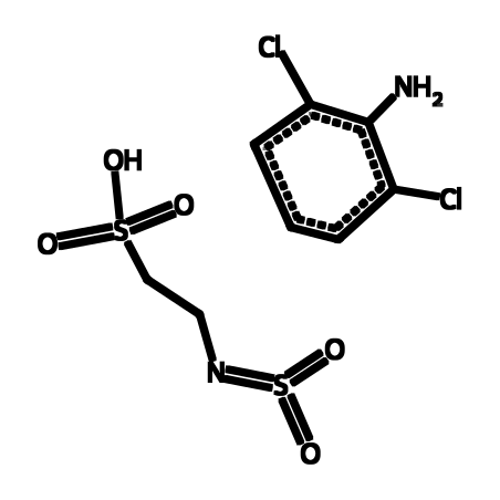 Nc1c(Cl)cccc1Cl.O=S(=O)=NCCS(=O)(=O)O